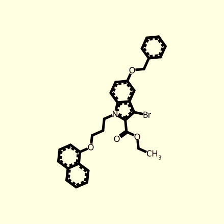 CCOC(=O)c1c(Br)c2cc(OCc3ccccc3)ccc2n1CCCOc1cccc2ccccc12